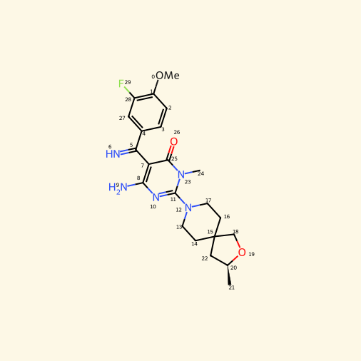 COc1ccc(C(=N)c2c(N)nc(N3CCC4(CC3)CO[C@@H](C)C4)n(C)c2=O)cc1F